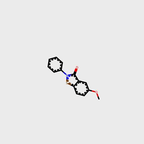 COc1ccc2sn(-c3ccccc3)c(=O)c2c1